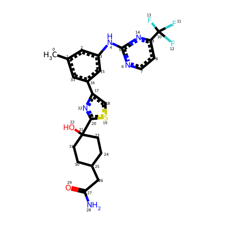 Cc1cc(Nc2nccc(C(F)(F)F)n2)cc(-c2csc(C3(O)CCC(CC(N)=O)CC3)n2)c1